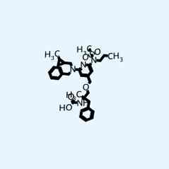 CCCN(c1cc(COCC(C)(Cc2ccccc2)NC(=O)O)cc(N(Cc2ccccc2)CC2CC2C)n1)S(C)(=O)=O